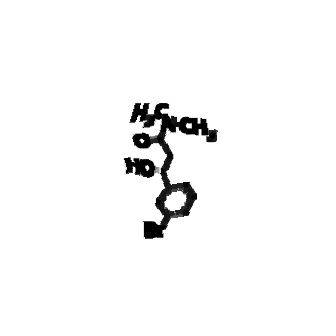 CN(C)C(=O)C[C@@H](O)c1cccc(Br)c1